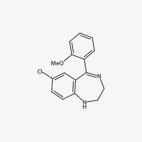 COc1ccccc1C1=NCCNc2ccc(Cl)cc21